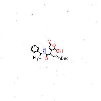 CCCCCCCCCCCCC(C(=O)NC(C)c1ccccc1)C1=CC(=O)OC1O